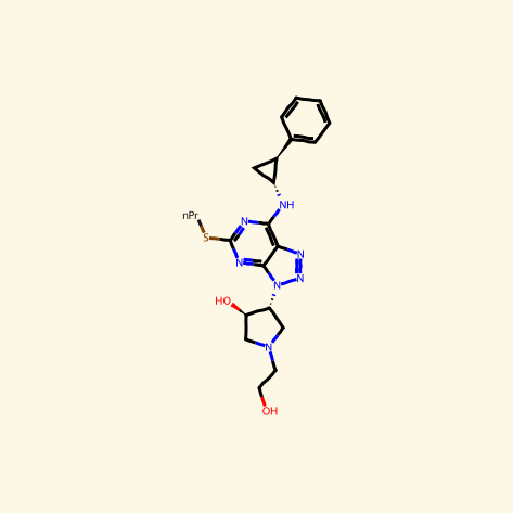 CCCSc1nc(N[C@@H]2C[C@H]2c2ccccc2)c2nnn([C@@H]3CN(CCO)C[C@H]3O)c2n1